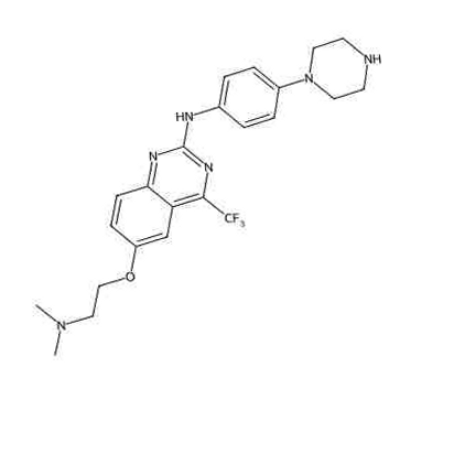 CN(C)CCOc1ccc2nc(Nc3ccc(N4CCNCC4)cc3)nc(C(F)(F)F)c2c1